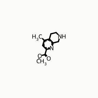 COC(=O)c1cc(C)c2c(n1)CNCC2